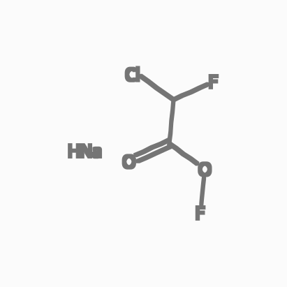 O=C(OF)C(F)Cl.[NaH]